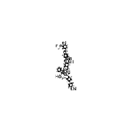 N#Cc1ccc(-c2ccc(CC(NC(=O)C3Cc4cc5c(cc4CN3C(=O)c3ccccc3)OC(c3ccc(OCc4ccc(Cl)c(C(F)(F)F)c4)cc3)C(=O)N5)C(=O)O)cc2)cc1